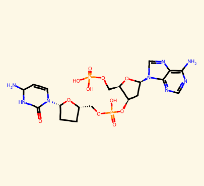 Nc1ncnc2c1ncn2[C@H]1C[C@@H](OP(=O)(O)OC[C@@H]2CC[C@H](N3C=CC(N)NC3=O)O2)[C@@H](COP(=O)(O)O)O1